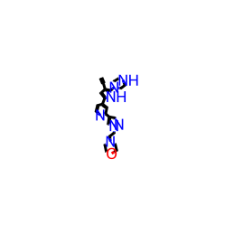 C#Cc1cc(-c2ccnc(-c3cnn(CCN4CCOCC4)c3)c2)[nH]c1N1CCNCC1